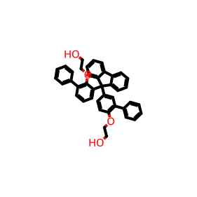 OCCOc1ccc(C2(c3cccc(-c4ccccc4)c3OCCO)c3ccccc3-c3ccccc32)cc1-c1ccccc1